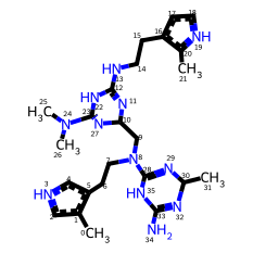 Cc1c[nH]cc1CCN(CC1N=C(NCCc2cc[nH]c2C)NC(N(C)C)=N1)C1=NC(C)N=C(N)N1